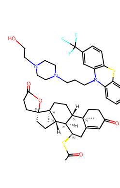 CC(=O)S[C@@H]1CC2=CC(=O)CC[C@]2(C)[C@H]2CC[C@@]3(C)[C@@H](CC[C@@]34CCC(=O)O4)[C@H]12.OCCN1CCN(CCCN2c3ccccc3Sc3ccc(C(F)(F)F)cc32)CC1